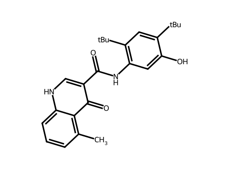 Cc1cccc2[nH]cc(C(=O)Nc3cc(O)c(C(C)(C)C)cc3C(C)(C)C)c(=O)c12